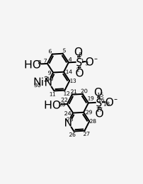 O=S(=O)([O-])c1ccc(O)c2ncccc12.O=S(=O)([O-])c1ccc(O)c2ncccc12.[Ni+2]